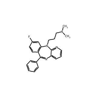 CN(C)CCCN1c2cc(F)ccc2C(c2ccccc2)=Nc2cccnc21